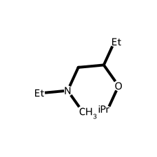 CCC(CN(C)CC)OC(C)C